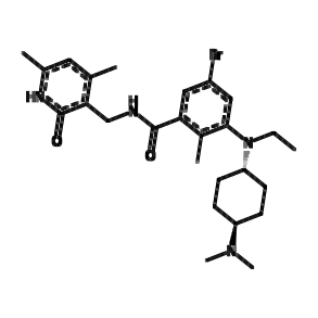 CCN(c1cc(Br)cc(C(=O)NCc2c(C)cc(C)[nH]c2=O)c1C)[C@H]1CC[C@H](N(C)C)CC1